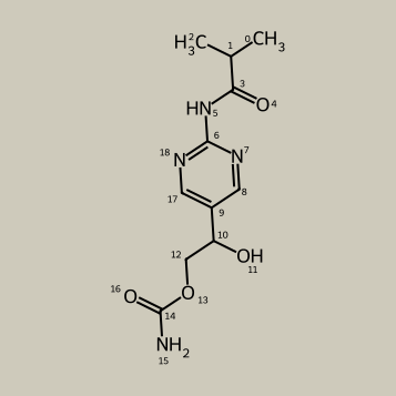 CC(C)C(=O)Nc1ncc(C(O)COC(N)=O)cn1